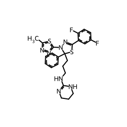 Cc1nnc(N2N=C(c3cc(F)ccc3F)SC2(CCCNC2=NCCCN2)c2ccccc2)s1